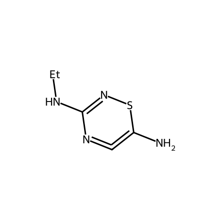 CCNC1=NSC(N)=C=N1